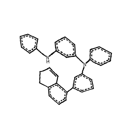 C1=Cc2c(cccc2-c2cccc(N(c3ccccc3)c3cccc(Nc4ccccc4)c3)c2)CC1